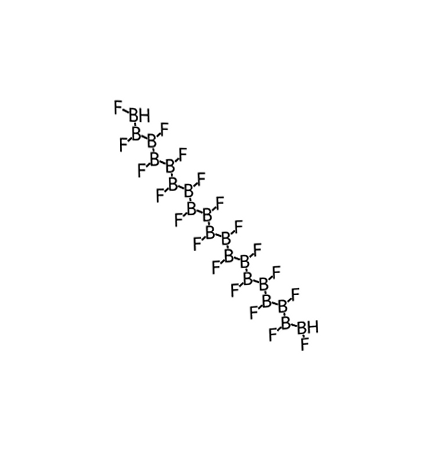 FBB(F)B(F)B(F)B(F)B(F)B(F)B(F)B(F)B(F)B(F)B(F)B(F)B(F)B(F)B(F)B(F)B(F)BF